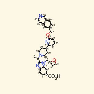 CC(c1nc2ccc(C(=O)O)cc2n1C[C@@H]1CCO1)N1CCC(c2cccc(OCc3ccc4cnccc4c3)n2)CC1